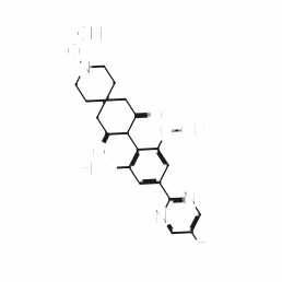 COc1cc(-c2ncc(F)cn2)cc(C)c1C1C(=O)CC2(CCN(OC)CC2)CC1=O